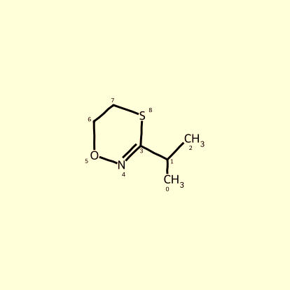 CC(C)C1=NOCCS1